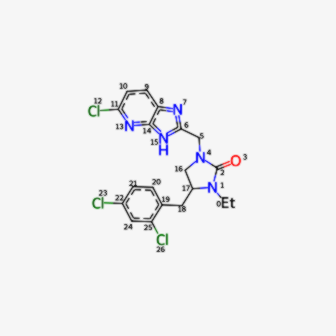 CCN1C(=O)N(Cc2nc3ccc(Cl)nc3[nH]2)CC1Cc1ccc(Cl)cc1Cl